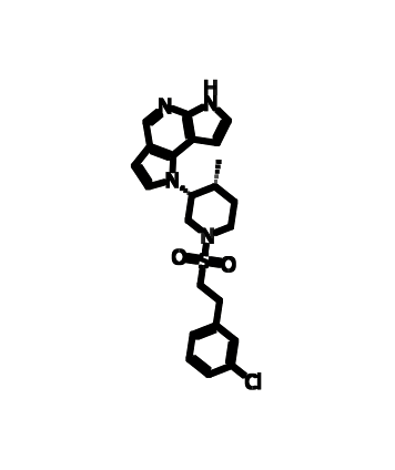 C[C@@H]1CCN(S(=O)(=O)CCc2cccc(Cl)c2)C[C@@H]1n1ccc2cnc3[nH]ccc3c21